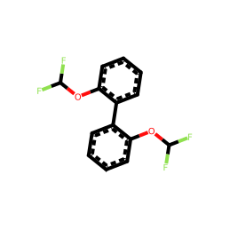 FC(F)Oc1c[c]ccc1-c1ccccc1OC(F)F